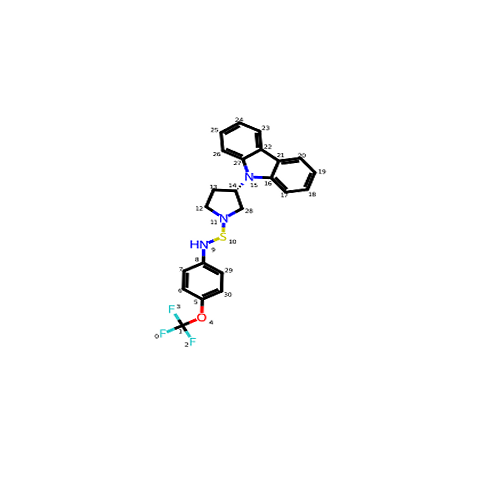 FC(F)(F)Oc1ccc(NSN2CC[C@H](n3c4ccccc4c4ccccc43)C2)cc1